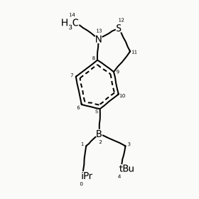 CC(C)CB(CC(C)(C)C)c1ccc2c(c1)CSN2C